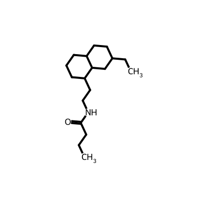 CCCC(=O)NCCC1CCCC2CCC(CC)CC12